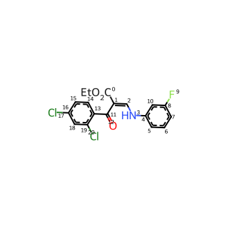 CCOC(=O)C(=CNc1cccc(F)c1)C(=O)c1ccc(Cl)cc1Cl